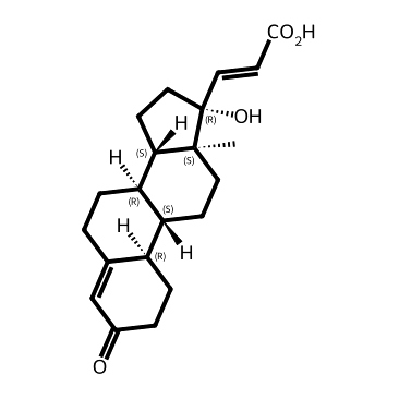 C[C@]12CC[C@H]3[C@@H](CCC4=CC(=O)CC[C@@H]43)[C@@H]1CC[C@@]2(O)C=CC(=O)O